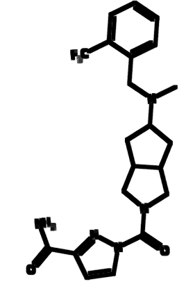 CN(Cc1ccccc1C(F)(F)F)C1CC2CN(C(=O)n3ccc(C(N)=O)n3)CC2C1